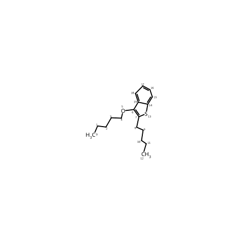 CCCCCOc1c(CCCCC)sc2ccccc12